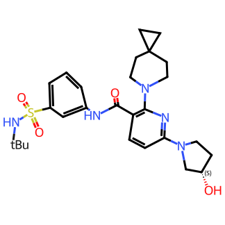 CC(C)(C)NS(=O)(=O)c1cccc(NC(=O)c2ccc(N3CC[C@H](O)C3)nc2N2CCC3(CC2)CC3)c1